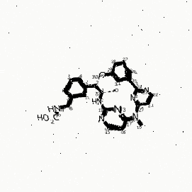 C[C@@H](Cc1cccc(CNC(=O)O)c1)Nc1nccc(N(C)c2ccnc(-c3cccc(F)c3)n2)n1